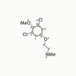 CNCCOc1cc(Cl)c(OC)c(Cl)c1